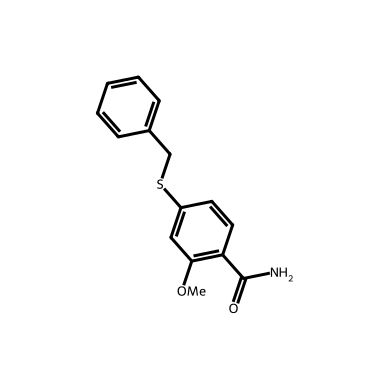 COc1cc(SCc2ccccc2)ccc1C(N)=O